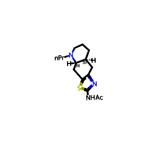 CCCN1CCC[C@H]2Cc3nc(NC(C)=O)sc3C[C@@H]21